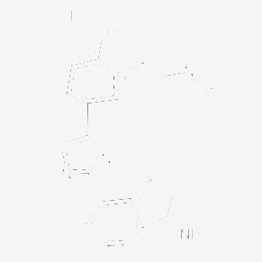 C=NCCc1cc(-c2nc(-c3cccc4c3CC[C@@H]4N)no2)ccc1OC(C)C